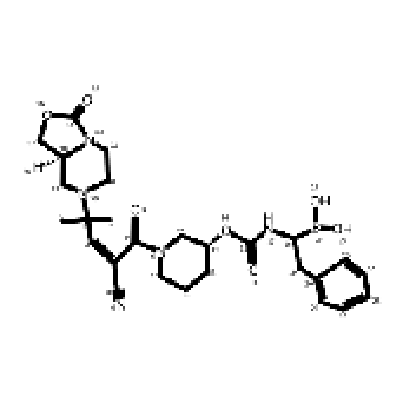 CC(C)(C=C(C#N)C(=O)N1CCC[C@H](OC(=O)NC(Cc2ccccc2)B(O)O)C1)N1CCN2C(=O)OC[C@@H]2C1